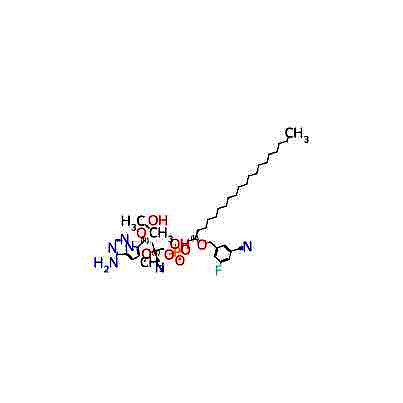 CCCCCCCCCCCCCCCCCCC[C@H](COP(=O)(O)OC[C@](C#N)(C[C@@H](OC(C)(C)O)c1ccc2c(N)ncnn12)OC)OCc1cc(F)cc(C#N)c1